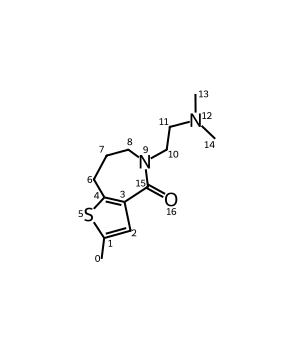 Cc1cc2c(s1)CCCN(CCN(C)C)C2=O